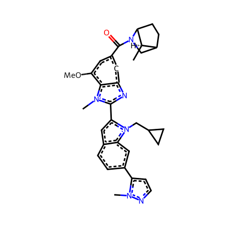 COc1cc(C(=O)N2CC3CCC2[C@@H]3C)cc2nc(-c3cc4ccc(-c5ccnn5C)cc4n3CC3CC3)n(C)c12